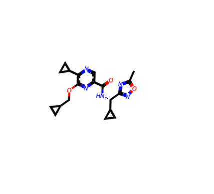 Cc1nc([C@@H](NC(=O)c2cnc(C3CC3)c(OCC3CC3)n2)C2CC2)no1